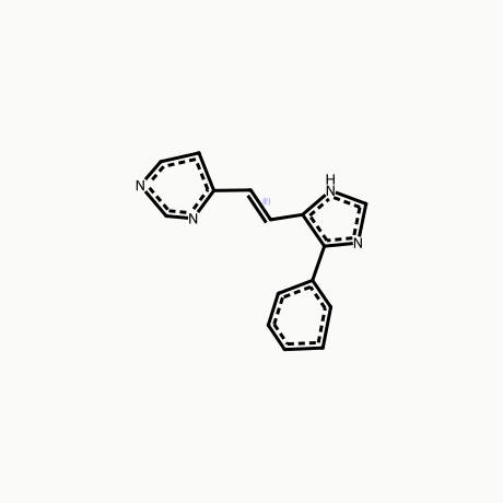 C(=C\c1[nH]cnc1-c1ccccc1)/c1ccncn1